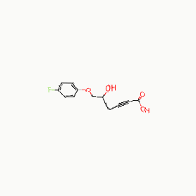 O=C(O)C#CCC(O)COc1ccc(F)cc1